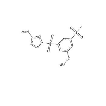 CNc1ccc(S(=O)(=O)c2cc(OC(C)(C)C)cc(S(C)(=O)=O)c2)s1